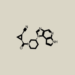 N#C[C@@H]1C[C@@H]1C(=O)N1CCC[C@@H](n2cnc3cnc4[nH]ccc4c32)C1